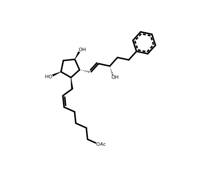 CC(=O)OCCCC/C=C\C[C@@H]1[C@@H](/C=C/[C@@H](O)CCc2ccccc2)[C@H](O)C[C@@H]1O